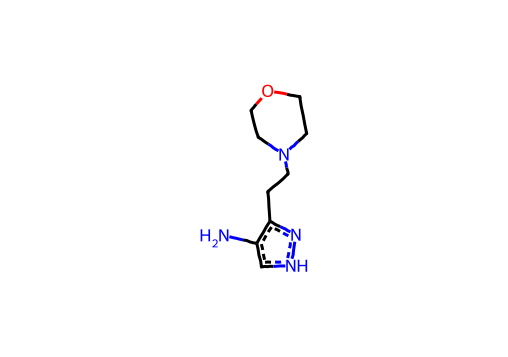 Nc1c[nH]nc1CCN1CCOCC1